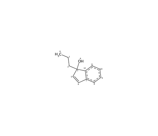 CCCC1(O)C=Cc2ccccc21